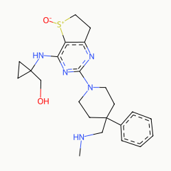 CNCC1(c2ccccc2)CCN(c2nc3c(c(NC4(CO)CC4)n2)[S+]([O-])CC3)CC1